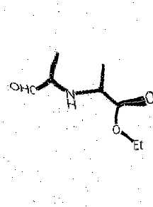 CCOC(=O)C(C)NC(C)[C]=O